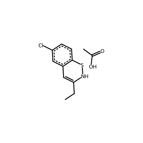 CC(=O)O.CCC1=Cc2cc(Cl)ccc2SN1